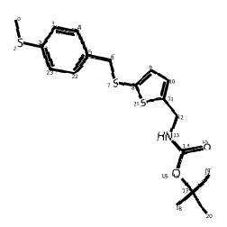 CSc1ccc(CSc2ccc(CNC(=O)OC(C)(C)C)s2)cc1